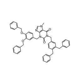 Cn1cnc2c1c(=O)n(Cc1ccc(Cc3ccccc3)c(Cc3ccccc3)c1)c(=O)n2Cc1ccc(OCc2ccccc2)c(OCc2ccccc2)c1